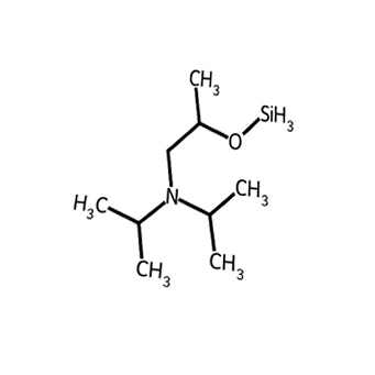 CC(CN(C(C)C)C(C)C)O[SiH3]